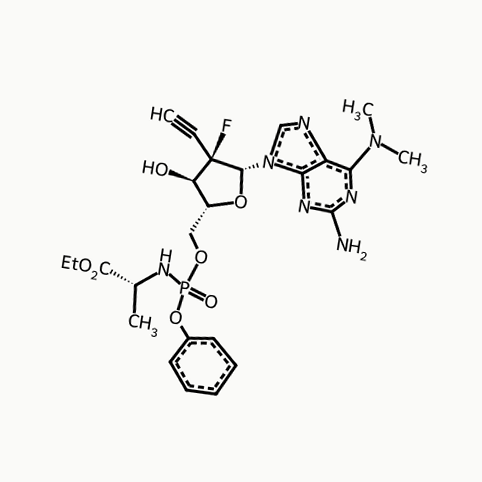 C#C[C@@]1(F)[C@H](O)[C@@H](COP(=O)(N[C@H](C)C(=O)OCC)Oc2ccccc2)O[C@H]1n1cnc2c(N(C)C)nc(N)nc21